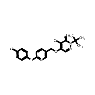 CC(C)(C)n1ncc(OCc2ccc(Oc3ccc(Cl)cc3)nc2)c(Cl)c1=O